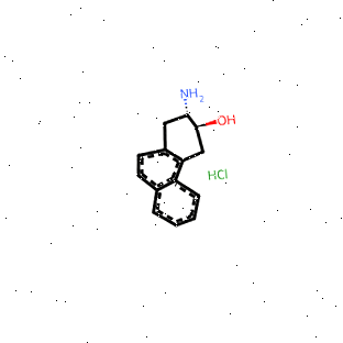 Cl.N[C@H]1Cc2ccc3ccccc3c2C[C@@H]1O